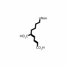 CCCCCCCCCCCCCC(=CC=CC(=O)O)C(=O)O